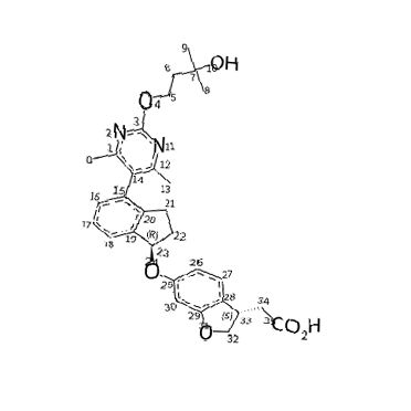 Cc1nc(OCCC(C)(C)O)nc(C)c1-c1cccc2c1CC[C@H]2Oc1ccc2c(c1)OC[C@H]2CC(=O)O